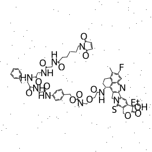 CC[C@@]1(O)C(=O)OCc2c1cc1n(c2=S)Cc2c-1nc1cc(F)c(C)c3c1c2[C@@H](NC(=O)COCN(C)C(=O)OCc1ccc(NC(=O)CNC(=O)[C@H](Cc2ccccc2)NC(=O)CNC(=O)CNC(=O)CCCCCN2C(=O)C=CC2=O)cc1)CC3